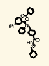 CC(C)c1ccc(OCc2ccccc2)c(C(=O)N(Cc2ccc(C(=O)NOCc3ccccc3)cc2)c2ccccc2)c1